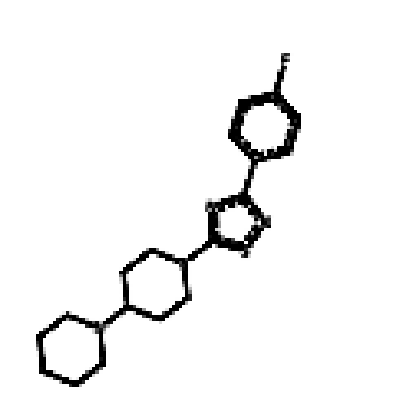 Fc1ccc(-c2nsc(N3CCC(N4CCCCC4)CC3)n2)cc1